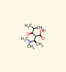 C=C(C(C(=O)O)C(=O)C(C)C)N(C)C